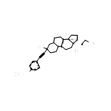 CCOC(=O)c1ccc(C#CC2(O)CC[C@@]3(C)C(CC[C@H]4[C@@H]5CC[C@H](C(=O)CO)[C@@]5(C)CC[C@@H]43)C2)cc1